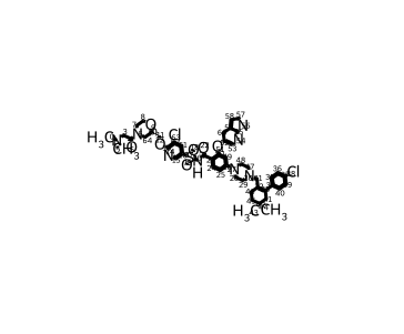 CN(C)CC(=O)N1CCO[C@H](COc2ncc(S(=O)(=O)NC(=O)c3ccc(N4CCN(CC5=C(c6ccc(Cl)cc6)CC(C)(C)CC5)CC4)cc3OC3=CN=C4N=CC=C4C3)cc2Cl)C1